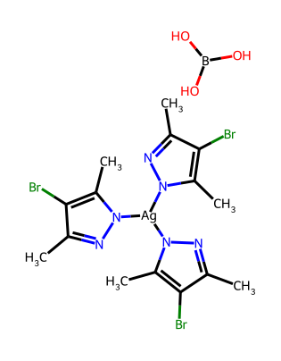 Cc1n[n]([Ag]([n]2nc(C)c(Br)c2C)[n]2nc(C)c(Br)c2C)c(C)c1Br.OB(O)O